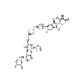 O=C(/C=C/CN1CCC(CN2CC3CC2CN3c2cc3c(cc2F)C(=O)N(C2CCC(=O)NC2=O)C3=O)CC1)Nc1cc2c(Nc3ccc(F)c(Cl)c3)ncnc2cc1OC1CCOC1